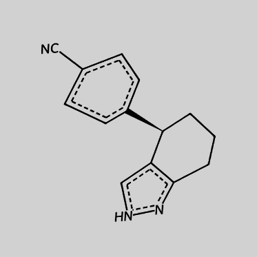 N#Cc1ccc([C@H]2CCCc3n[nH]cc32)cc1